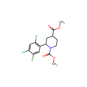 COC(=O)C1CCN(C(=O)OC)C(c2cc(F)c(F)cc2F)C1